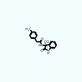 Cc1ccc(CC(=O)N[C@]2(C(=O)O)C(=O)Nc3ccccc32)cc1